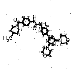 CC1CCN(C(=O)c2ccc(NC(=O)Nc3ccc(-c4nc(N5CCOCC5)nc(N5CCOCC5)n4)cc3)cc2)CC1